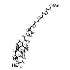 COCCOCCOCCOCc1cn(CC(=O)[C@H]2CC[C@H]3[C@@H]4CC[C@@H]5C[C@](C)(O)CC[C@@H]5[C@H]4CC(F)(F)[C@]23C)nn1